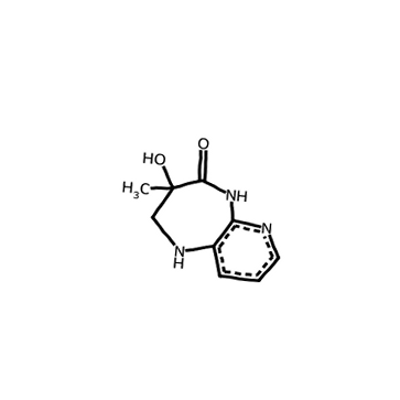 CC1(O)CNc2cccnc2NC1=O